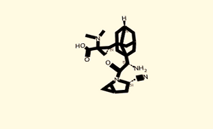 CN(C)C1(C(=O)O)C[C@H]1C12CC3C[C@H](CC([C@H](N)C(=O)N4C5CC5C[C@H]4C#N)(C3)C1)C2